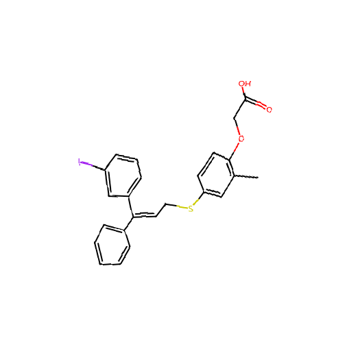 Cc1cc(SC/C=C(/c2ccccc2)c2cccc(I)c2)ccc1OCC(=O)O